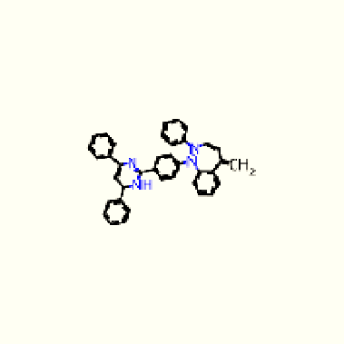 C=C1C=CN(c2ccccc2)N(c2ccc(C3=NC(c4ccccc4)=CC(c4ccccc4)N3)cc2)c2ccccc21